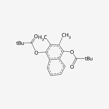 Cc1c(C)c(OC(=O)C(C)(C)C)c2ccccc2c1OC(=O)C(C)(C)C